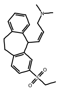 CCS(=O)(=O)c1ccc2c(c1)C(/C=C\CN(C)C)c1ccccc1CC2